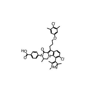 Cc1cc(OCCCc2c3n(c4c(-c5c(C)nn(C)c5C)c(Cl)ccc24)CC(C)N(c2ccc(C(=O)O)cc2)C3=O)cc(C)c1Cl